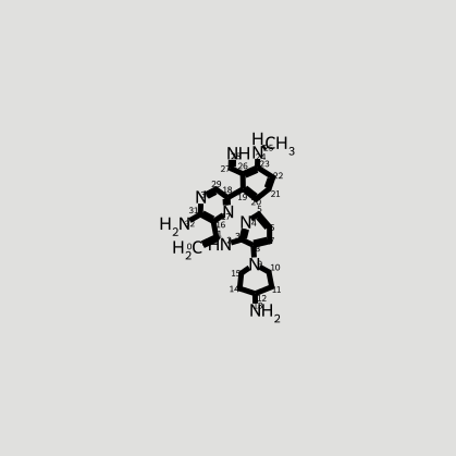 C=C(Nc1ncccc1N1CCC(N)CC1)c1nc(-c2cccc(NC)c2C=N)cnc1N